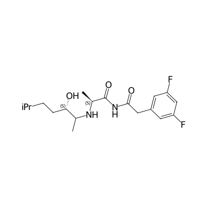 CC(C)CC[C@H](O)C(C)N[C@@H](C)C(=O)NC(=O)Cc1cc(F)cc(F)c1